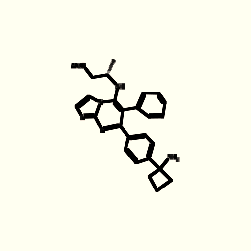 COC[C@H](C)Nc1c(-c2ccccc2)c(-c2ccc(C3(N)CCC3)cc2)nc2nccn12